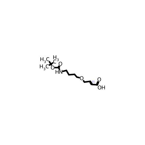 CC(C)(C)OC(=O)NCCCCOC/C=C/C(=O)O